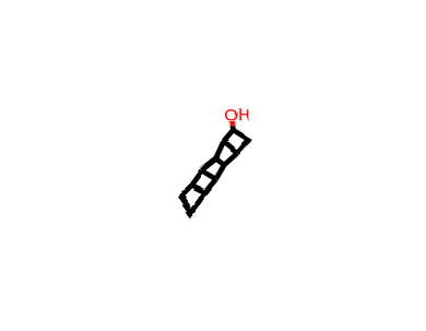 OC1CC2C1C1C3C4CCC4C3C21